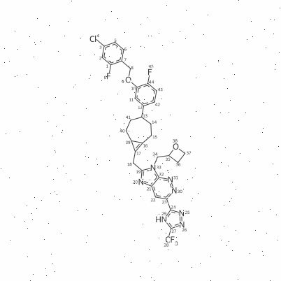 Fc1cc(Cl)ccc1COc1cc(C2CCC3=C(Cc4nc5cc(-c6nnc(C(F)(F)F)[nH]6)nnc5n4CC4CCO4)C3CC2)ccc1F